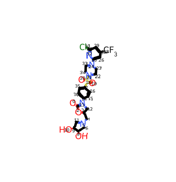 O=C1OC(CN2C[C@@H](O)[C@@H](O)C2)CN1c1ccc(S(=O)(=O)N2CCN(c3cc(C(F)(F)F)cc(Cl)n3)CC2)cc1